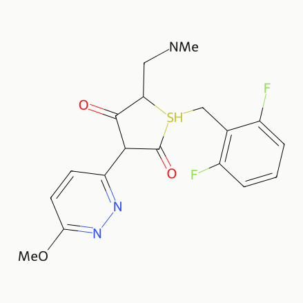 CNCC1C(=O)C(c2ccc(OC)nn2)C(=O)[SH]1Cc1c(F)cccc1F